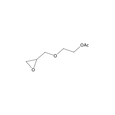 CC(=O)OCCOCC1CO1